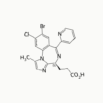 Cc1cnc2n1-c1cc(Cl)c(Br)cc1C(c1ccccn1)=N[C@H]2CCC(=O)O